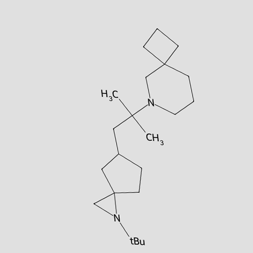 CC(C)(C)N1CC12CCC(CC(C)(C)N1CCCC3(CCC3)C1)C2